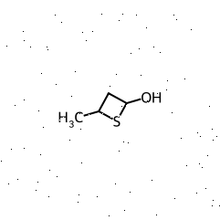 CC1CC(O)S1